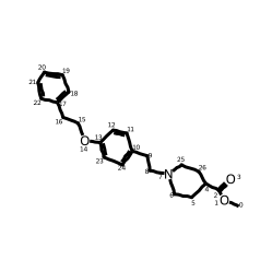 COC(=O)C1CCN(CCc2ccc(OCCc3ccccc3)cc2)CC1